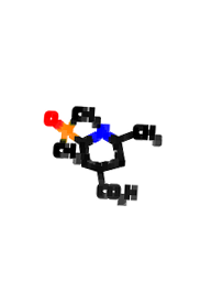 Cc1cc(C(=O)O)cc(P(C)(C)=O)n1